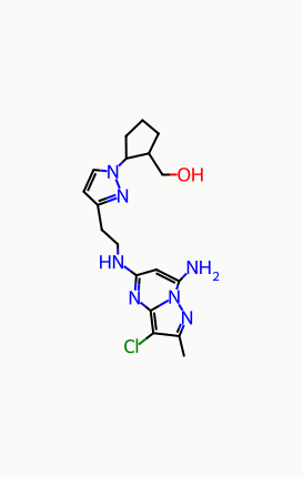 Cc1nn2c(N)cc(NCCc3ccn(C4CCCC4CO)n3)nc2c1Cl